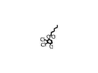 CCCCCC(=O)Oc1ccc(Cl)c(Cl)c1Cl